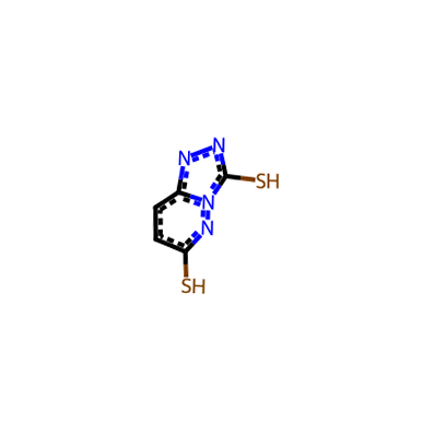 Sc1ccc2nnc(S)n2n1